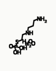 NCCCNCCSP(=O)(O)O.O.O